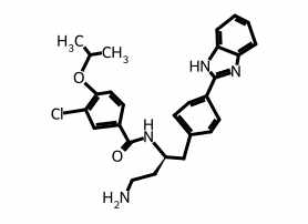 CC(C)Oc1ccc(C(=O)N[C@H](CCN)Cc2ccc(-c3nc4ccccc4[nH]3)cc2)cc1Cl